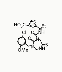 CC[C@@H](NC(=O)N1CC(=S)NC[C@@H](Cc2cc(Cl)ccc2OC)C1=O)c1cc(C(=O)O)cs1